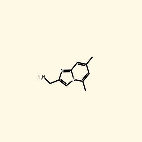 Cc1cc(C)n2cc(CN)nc2c1